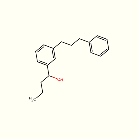 CCCC(O)c1cccc(CCCc2ccccc2)c1